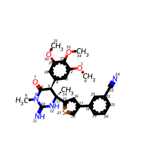 COc1cc([C@@H]2C(=O)N(C)C(=N)N[C@]2(C)c2cc(-c3cccc(C#N)c3)cs2)cc(OC)c1OC